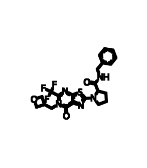 O=C(NCc1ccccc1)C1CCCN1c1nc2c(=O)n(CC3COC3)c(C(F)(F)F)nc2s1